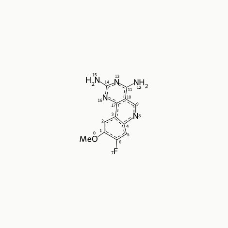 COc1cc2c(cc1F)ncc1c(N)nc(N)nc12